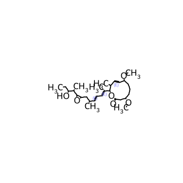 CCC(O)C(C)C1OC1CC(C)/C=C/C=C(\C)C1OC(=O)CC(OC)CCCC(OC)/C=C/C1C